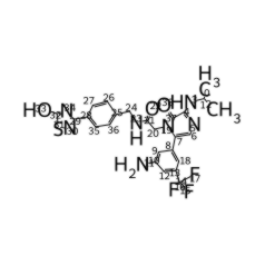 CC(C)Nc1ncc(-c2cc(N)cc(C(F)(F)F)c2)n(CC(=O)NCc2ccc(-c3nsc(O)n3)cc2)c1=O